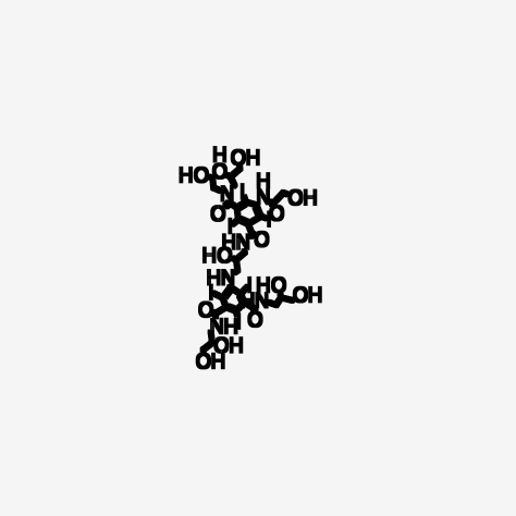 O=C(CO)Nc1c(I)c(C(=O)NCC(O)CNc2c(I)c(C(=O)NCC(O)CO)c(I)c(C(=O)NCC(O)CO)c2I)c(I)c(C(=O)N(CCO)CC(O)CO)c1I